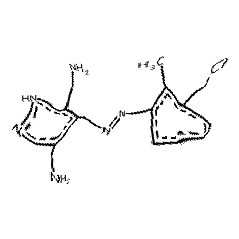 Cc1c(Cl)cccc1N=Nc1c(N)n[nH]c1N